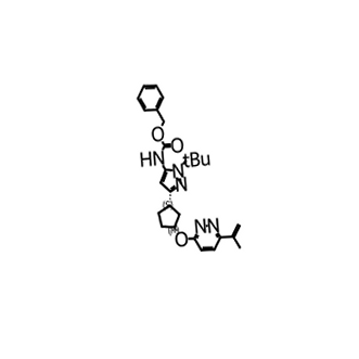 C=C(C)c1ccc(O[C@@H]2CC[C@H](c3cc(NC(=O)OCc4ccccc4)n(C(C)(C)C)n3)C2)nn1